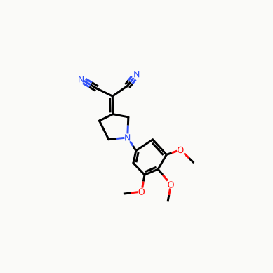 COc1cc(N2CCC(=C(C#N)C#N)C2)cc(OC)c1OC